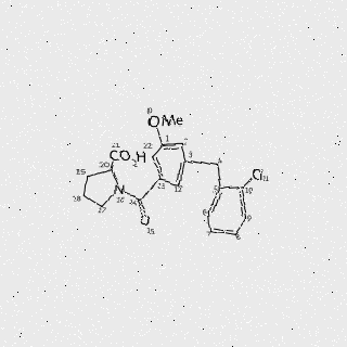 COc1cc(Cc2ccccc2Cl)cc(C(=O)N2CCCC2C(=O)O)c1